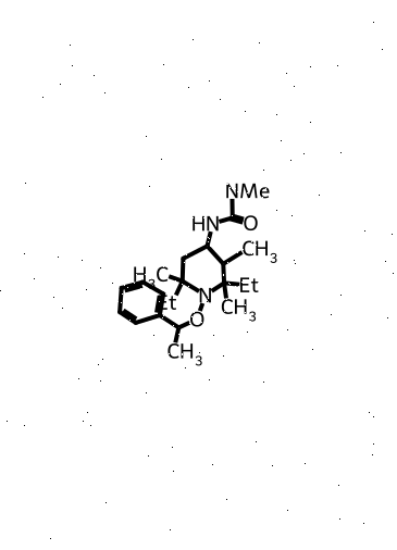 CCC1(C)CC(NC(=O)NC)C(C)C(C)(CC)N1OC(C)c1ccccc1